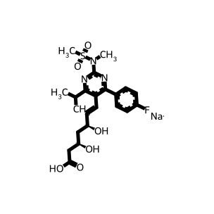 CC(C)c1nc(N(C)S(C)(=O)=O)nc(-c2ccc(F)cc2)c1C=C[C@@H](O)C[C@@H](O)CC(=O)O.[Na]